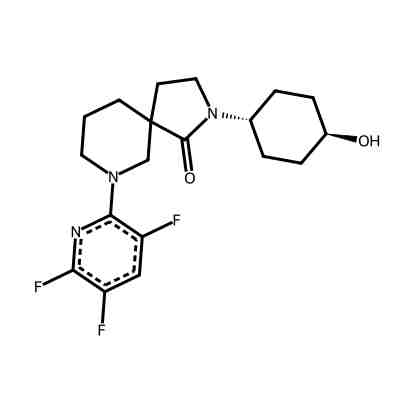 O=C1N([C@H]2CC[C@H](O)CC2)CCC12CCCN(c1nc(F)c(F)cc1F)C2